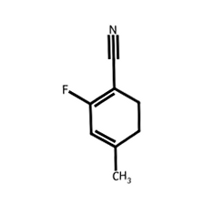 CC1=CC(F)=C(C#N)CC1